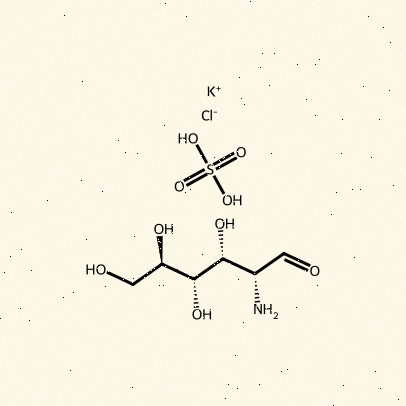 N[C@@H](C=O)[C@@H](O)[C@H](O)[C@H](O)CO.O=S(=O)(O)O.[Cl-].[K+]